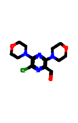 O=Cc1nc(Cl)c(N2CCOCC2)nc1N1CCOCC1